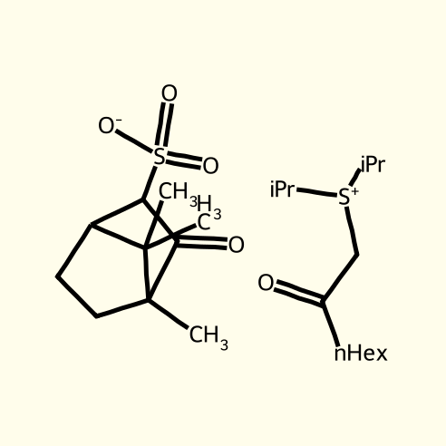 CC12CCC(C(S(=O)(=O)[O-])C1=O)C2(C)C.CCCCCCC(=O)C[S+](C(C)C)C(C)C